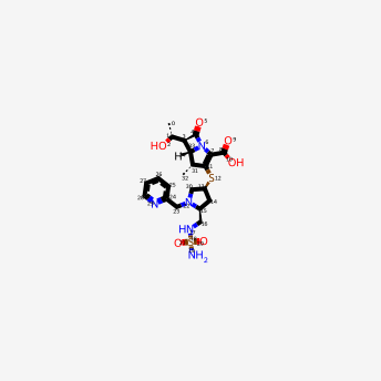 C[C@@H](O)[C@H]1C(=O)N2C(C(=O)O)=C(S[C@H]3C[C@@H](CNS(N)(=O)=O)N(Cc4ccccn4)C3)[C@H](C)[C@H]12